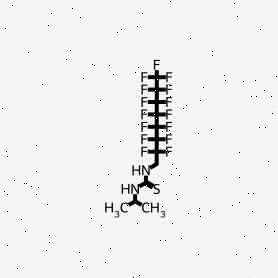 CC(C)NC(=S)NCC(F)(F)C(F)(F)C(F)(F)C(F)(F)C(F)(F)C(F)(F)C(F)(F)F